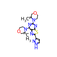 C[C@@H]1COCCN1c1nc(N2CCOC[C@@H]2C)nc2sc(-c3cc[nH]n3)nc12